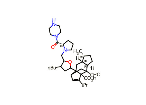 CCCCC1CC(C23C[C@@H]4[C@H](C)CC[C@H]4C4(C=O)CC2C=C(C(C)C)C34C(=O)O)OC1CN1CCC[C@H]1C(=O)N1CCNCC1